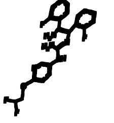 N/C(=C(\N=C(/N)Nc1ccc(OCC(F)F)nc1)c1ccccc1F)c1ccncc1F